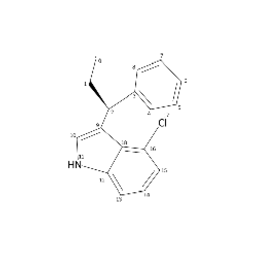 [CH2]C[C@@H](c1ccccc1)c1c[nH]c2cccc(Cl)c12